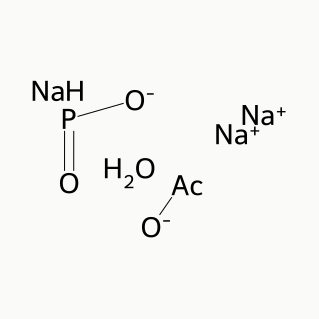 CC(=O)[O-].O.O=P[O-].[Na+].[Na+].[NaH]